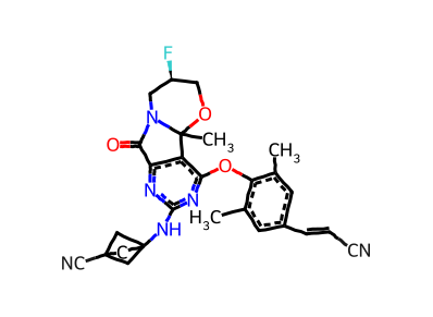 Cc1cc(/C=C/C#N)cc(C)c1Oc1nc(NC23CC(C#N)(C2)C3)nc2c1C1(C)OC[C@H](F)CN1C2=O